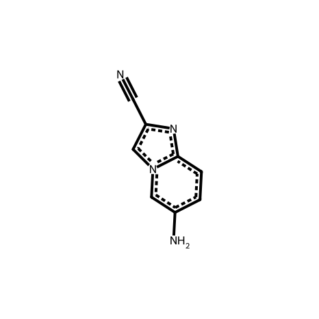 N#Cc1cn2cc(N)ccc2n1